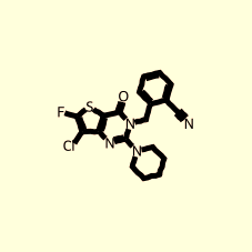 N#Cc1ccccc1Cn1c(N2CCCCC2)nc2c(Cl)c(F)sc2c1=O